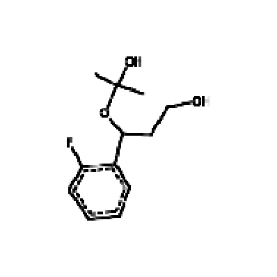 CC(C)(O)OC(CCO)c1ccccc1F